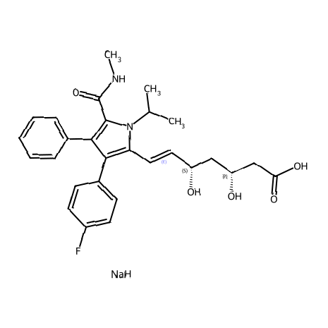 CNC(=O)c1c(-c2ccccc2)c(-c2ccc(F)cc2)c(/C=C/[C@@H](O)C[C@@H](O)CC(=O)O)n1C(C)C.[NaH]